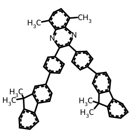 Cc1ccc(C)c2nc(-c3ccc(-c4ccc5c(c4)C(C)(C)c4ccccc4-5)cc3)c(-c3ccc(-c4ccc5c(c4)C(C)(C)c4ccccc4-5)cc3)nc12